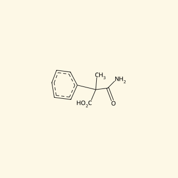 CC(C(N)=O)(C(=O)O)c1ccccc1